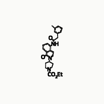 CCOC(=O)N1CCC(n2ccc3c(NC(=O)Cc4cccc(C)c4)cccc3c2=O)CC1